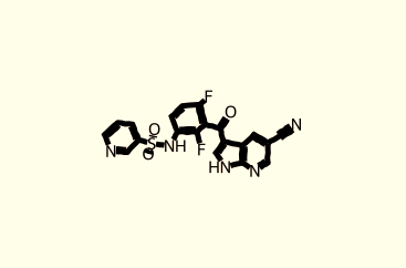 N#Cc1cnc2[nH]cc(C(=O)c3c(F)ccc(NS(=O)(=O)c4cccnc4)c3F)c2c1